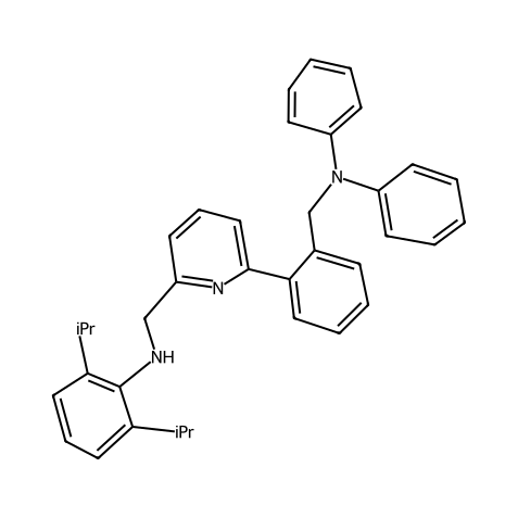 CC(C)c1cccc(C(C)C)c1NCc1cccc(-c2ccccc2CN(c2ccccc2)c2ccccc2)n1